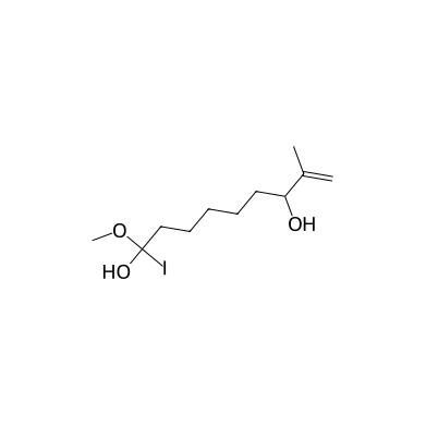 C=C(C)C(O)CCCCCC(O)(I)OC